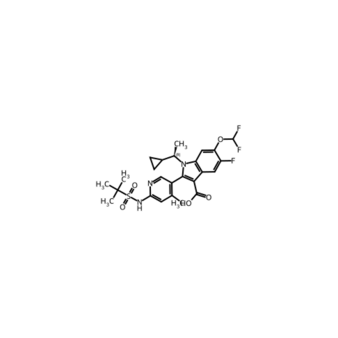 Cc1cc(NS(=O)(=O)C(C)(C)C)ncc1-c1c(C(=O)O)c2cc(F)c(OC(F)F)cc2n1[C@H](C)C1CC1